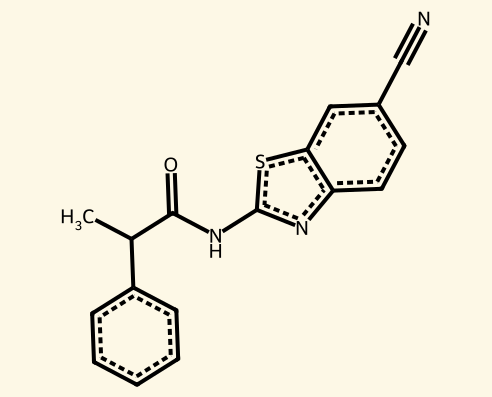 CC(C(=O)Nc1nc2ccc(C#N)cc2s1)c1ccccc1